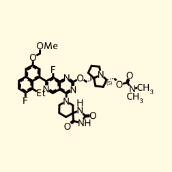 CCc1c(F)ccc2cc(OCOC)cc(-c3ncc4c(N5CCCC6(C5)NC(=O)NC6=O)nc(OC[C@]56CCCN5[C@H](COC(=O)N(C)C)CC6)nc4c3F)c12